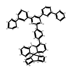 c1ccc(-c2cccc(-c3cc(-c4cccc(-c5ccccc5)c4)nc(-c4ccc(-c5cccc6c5Sc5ccccc5C65c6ccccc6-c6ccccc65)cc4)n3)c2)cc1